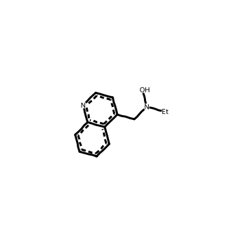 CCN(O)Cc1ccnc2ccccc12